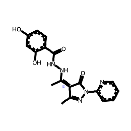 CC1=NN(c2ccccn2)C(=O)/C1=C(/C)NNC(=O)c1ccc(O)cc1O